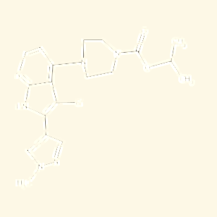 CC(C)OC(=O)N1CCN(c2ccnc3[nH]c(-c4cnn(C)c4)c(Cl)c23)CC1